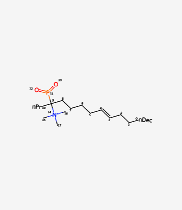 CCCCCCCCCCCCC=CCCCCC(CCC)(P(=O)=O)[N+](C)(C)C